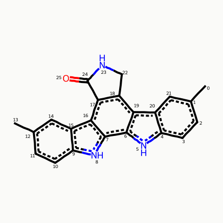 Cc1ccc2[nH]c3c4[nH]c5ccc(C)cc5c4c4c(c3c2c1)CNC4=O